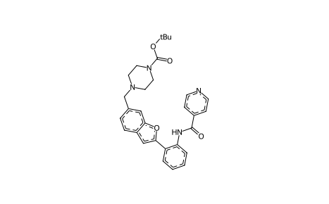 CC(C)(C)OC(=O)N1CCN(Cc2ccc3cc(-c4ccccc4NC(=O)c4ccncc4)oc3c2)CC1